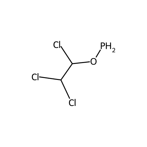 POC(Cl)C(Cl)Cl